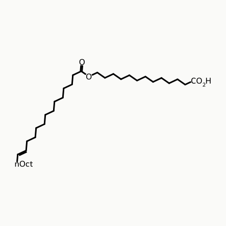 CCCCCCCCC=CCCCCCCCCCCCC(=O)OCCCCCCCCCCCCC(=O)O